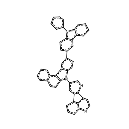 c1ccc(-n2c3ccccc3c3cc(-c4ccc5c(c4)c4c6ccccc6ccc4n5-c4cnc5c(c4)-c4cccc6nccc-5c46)ccc32)cc1